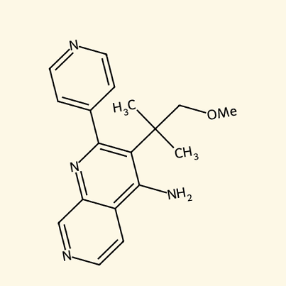 COCC(C)(C)c1c(-c2ccncc2)nc2cnccc2c1N